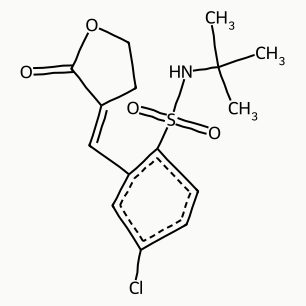 CC(C)(C)NS(=O)(=O)c1ccc(Cl)cc1C=C1CCOC1=O